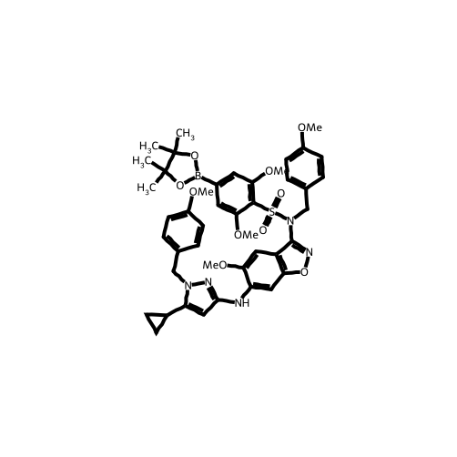 COc1ccc(CN(c2noc3cc(Nc4cc(C5CC5)n(Cc5ccc(OC)cc5)n4)c(OC)cc23)S(=O)(=O)c2c(OC)cc(B3OC(C)(C)C(C)(C)O3)cc2OC)cc1